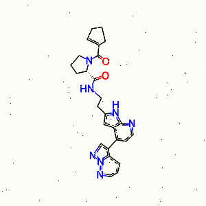 O=C(NCCc1cc2c(-c3cnn4ncccc34)ccnc2[nH]1)[C@@H]1CCCN1C(=O)C1=CCCC1